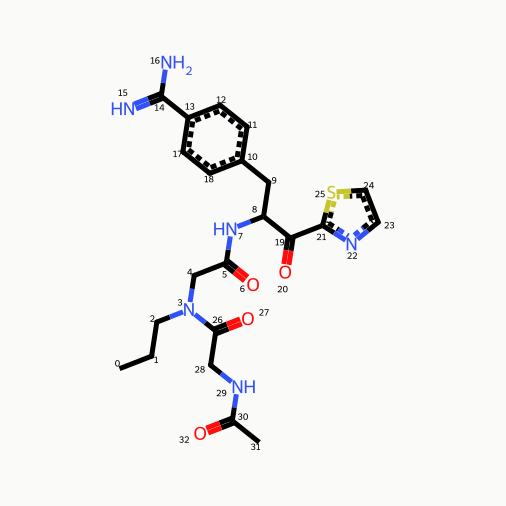 CCCN(CC(=O)NC(Cc1ccc(C(=N)N)cc1)C(=O)c1nccs1)C(=O)CNC(C)=O